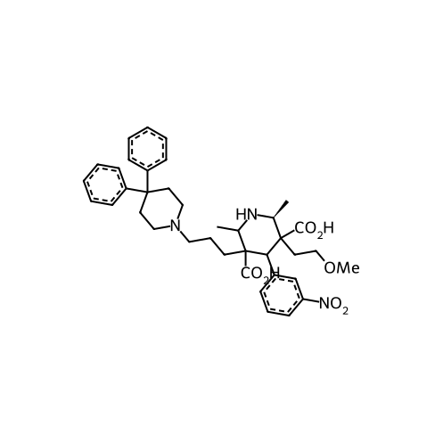 COCCC1(C(=O)O)C(c2cccc([N+](=O)[O-])c2)C(CCCN2CCC(c3ccccc3)(c3ccccc3)CC2)(C(=O)O)C(C)N[C@H]1C